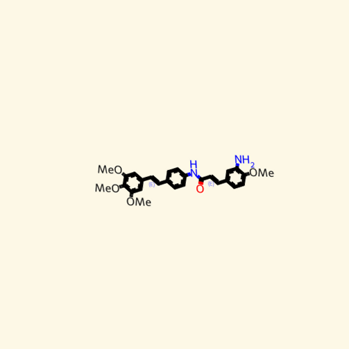 COc1ccc(/C=C/C(=O)Nc2ccc(/C=C/c3cc(OC)c(OC)c(OC)c3)cc2)cc1N